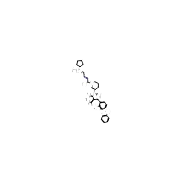 Nc1ncnc2c1c(-c1ccc(Oc3ccccc3)cc1)nn2C1CCCN(C(=O)/C=C/CNC2CCCC2)C1